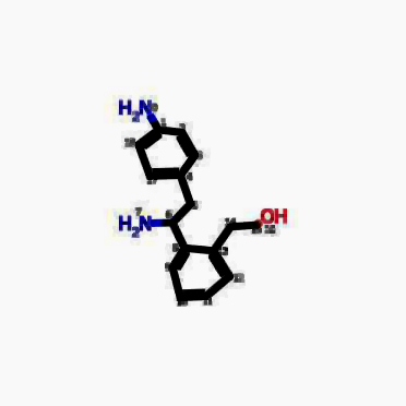 Nc1ccc(CC(N)c2ccccc2CCO)cc1